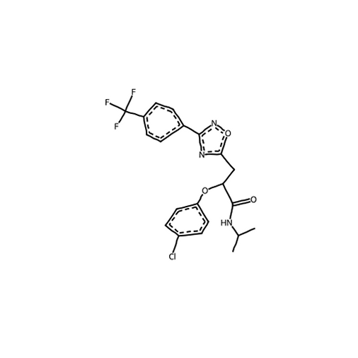 CC(C)NC(=O)C(Cc1nc(-c2ccc(C(F)(F)F)cc2)no1)Oc1ccc(Cl)cc1